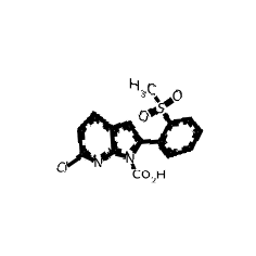 CS(=O)(=O)c1ccccc1-c1cc2ccc(Cl)nc2n1C(=O)O